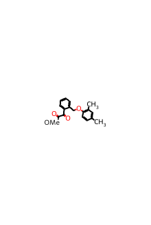 COC(=O)C(=O)c1ccccc1COc1ccc(C)cc1C